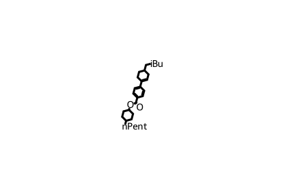 CCCCCC1CCC(OC(=O)c2ccc(C3=CCC(CC(C)CC)CC3)cc2)CC1